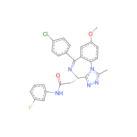 COc1ccc2c(c1)C(c1ccc(Cl)cc1)=N[C@@H](CC(=O)Nc1cccc(F)c1)c1nnc(C)n1-2